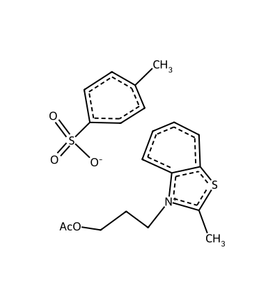 CC(=O)OCCC[n+]1c(C)sc2ccccc21.Cc1ccc(S(=O)(=O)[O-])cc1